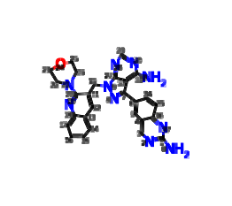 Nc1ncc2cc(-c3nn(Cc4cc5ccccc5nc4N4CCOCC4)c4ncnc(N)c34)ccc2n1